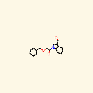 O=Cc1cn(C(=O)COCc2ccccc2)c2ccccc12